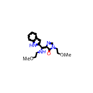 COCCN/C(=C1/N=CN(CCOC)C1=O)c1cc2ccccc2[nH]1